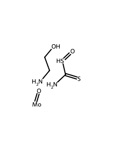 NC(=S)[SH]=O.NCCO.[O]=[Mo]